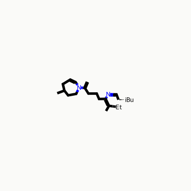 C=C(CCCC(/N=C\C[C@@H](C)CC)=C(\C)CC)N1C=CCC(C)CC1